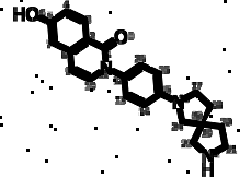 O=c1c2ccc(O)cc2ccn1-c1ccc(N2CC[C@]3(CCNC3)C2)cc1